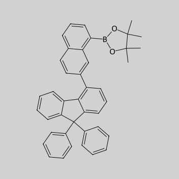 CC1(C)OB(c2cccc3ccc(-c4cccc5c4-c4ccccc4C5(c4ccccc4)c4ccccc4)cc23)OC1(C)C